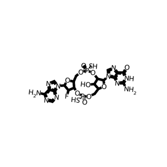 Nc1nc2c(ncn2C2OC3CO[P@@](=O)(S)OC4C(CO[P@@](=O)(S)OC2C3O)OC(n2cnc3c(N)ncnc32)C4F)c(=O)[nH]1